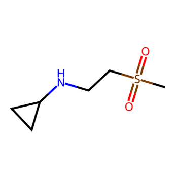 CS(=O)(=O)CCNC1CC1